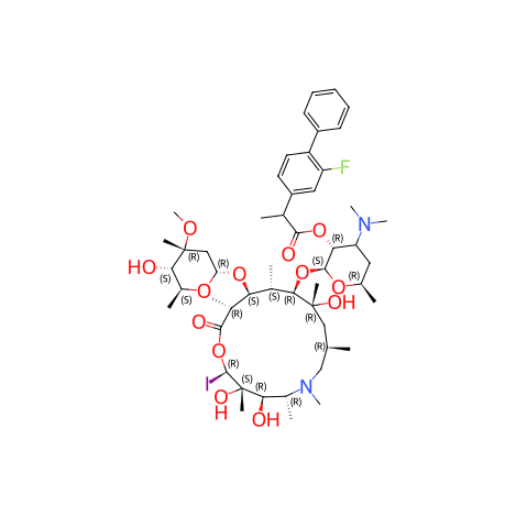 CO[C@]1(C)C[C@H](O[C@H]2[C@H](C)[C@@H](O[C@@H]3O[C@H](C)CC(N(C)C)[C@H]3OC(=O)C(C)c3ccc(-c4ccccc4)c(F)c3)[C@](C)(O)C[C@@H](C)CN(C)[C@H](C)[C@@H](O)[C@](C)(O)[C@@H](I)OC(=O)[C@@H]2C)O[C@@H](C)[C@@H]1O